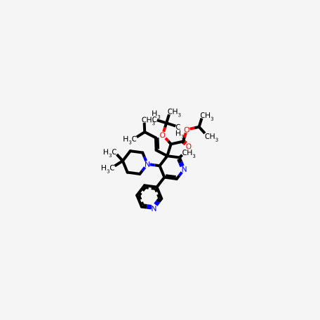 CC1=NC=C(c2cccnc2)C(N2CCC(C)(C)CC2)C1(C=CC(C)C)C(OC(C)(C)C)C(=O)OC(C)C